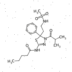 CCCCC(=O)NC1=NN(C(=O)C(C)C)C(CCNS(C)(=O)=O)(c2ccccc2)S1